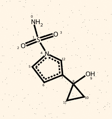 NS(=O)(=O)n1ccc(C2(O)CC2)c1